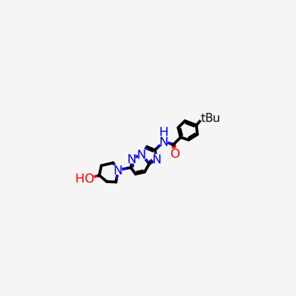 CC(C)(C)c1ccc(C(=O)Nc2cn3nc(N4CCC(O)CC4)ccc3n2)cc1